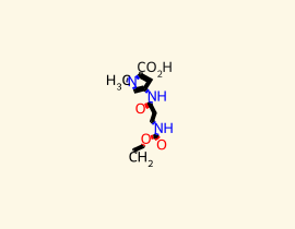 C=CCOC(=O)NCCC(=O)Nc1cc(C(=O)O)n(C)c1